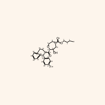 CCCCOC(=O)N1CCO[C@H](C(=O)N2CCc3ccccc3[C@@H]2c2ccc(F)cc2)[C@H](O)C1